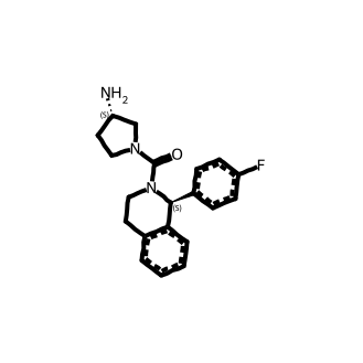 N[C@H]1CCN(C(=O)N2CCc3ccccc3[C@@H]2c2ccc(F)cc2)C1